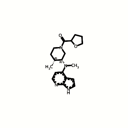 C[C@@H]1CCN(C(=O)C2CCCO2)C[C@@H]1N(C)c1ccnc2[nH]ccc12